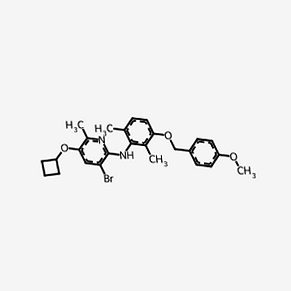 COc1ccc(COc2ccc(C)c(Nc3nc(C)c(OC4CCC4)cc3Br)c2C)cc1